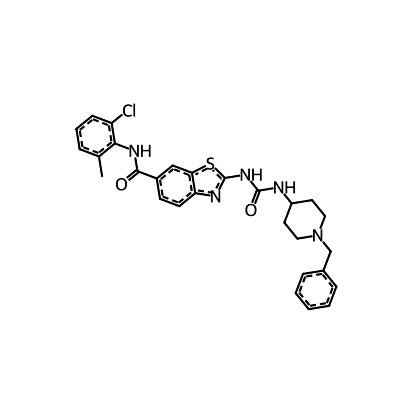 Cc1cccc(Cl)c1NC(=O)c1ccc2nc(NC(=O)NC3CCN(Cc4ccccc4)CC3)sc2c1